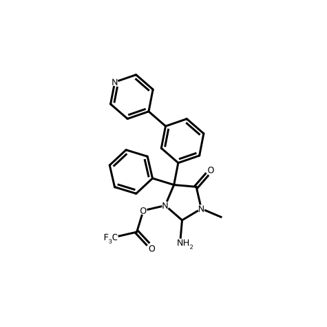 CN1C(=O)C(c2ccccc2)(c2cccc(-c3ccncc3)c2)N(OC(=O)C(F)(F)F)C1N